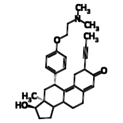 CC#CC1CC2=C3C(CCC2=CC1=O)C1CC[C@@H](O)[C@@]1(C)C[C@@H]3c1ccc(OCCN(C)C)cc1